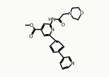 COC(=O)c1cc(NC(=O)CN2CCOCC2)nc(-c2ccc(-c3cccnc3)cc2)c1